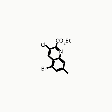 CCOC(=O)c1nc2cc(C)cc(Br)c2cc1Cl